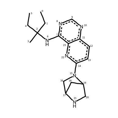 CCC(C)(CC)Nc1ncnc2ccc(N3CC4CC3CN4)nc12